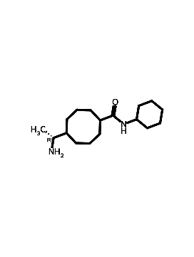 C[C@@H](N)C1CCCC(C(=O)NC2CCCCC2)CCC1